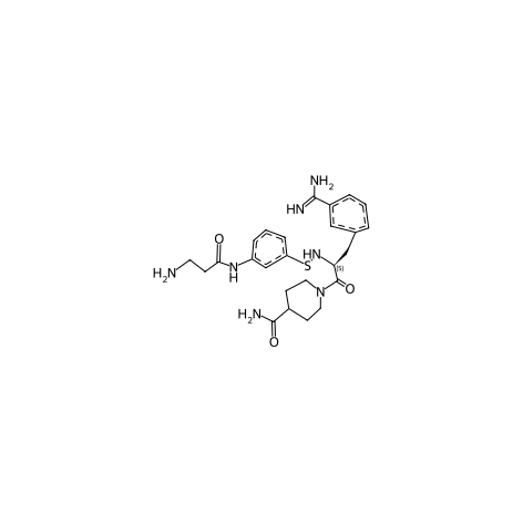 N=C(N)c1cccc(C[C@H](NSc2cccc(NC(=O)CCN)c2)C(=O)N2CCC(C(N)=O)CC2)c1